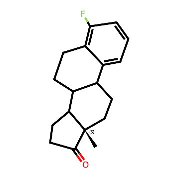 C[C@]12CCC3c4cccc(F)c4CCC3C1CCC2=O